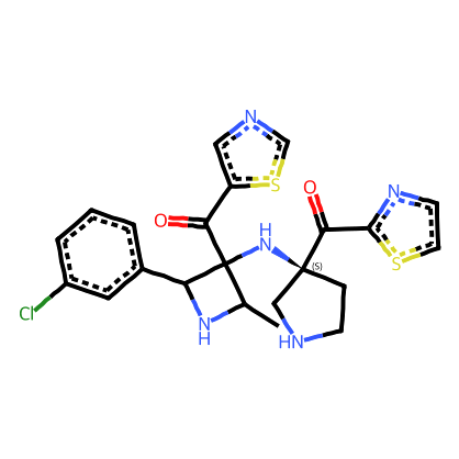 CC1NC(c2cccc(Cl)c2)C1(N[C@@]1(C(=O)c2nccs2)CCNC1)C(=O)c1cncs1